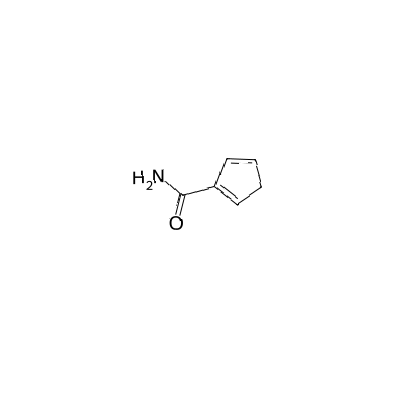 NC(=O)C1=CCC=C1